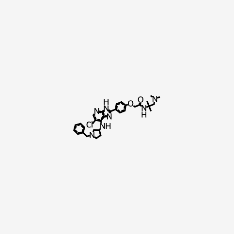 CN(C)CC(C)(C)NC(=O)COc1ccc(-c2nc3c(NC4CCN(Cc5ccccc5)C4)c(Cl)cnc3[nH]2)cc1